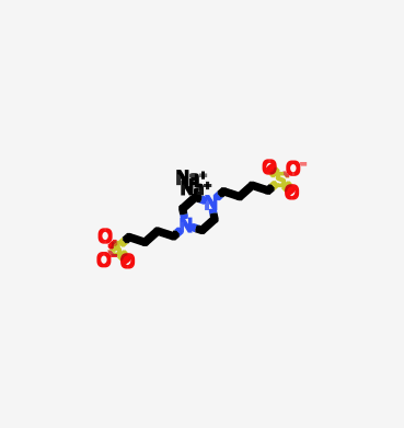 O=S(=O)([O-])CCCCN1CCN(CCCCS(=O)(=O)[O-])CC1.[Na+].[Na+]